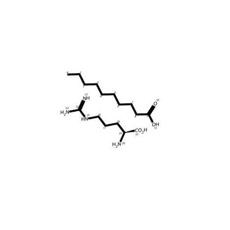 CCCCCCCCCC(=O)O.N=C(N)NCCC[C@H](N)C(=O)O